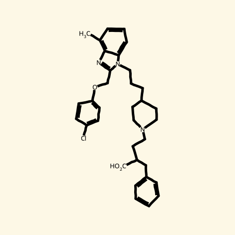 Cc1cccc2c1nc(COc1ccc(Cl)cc1)n2CCCC1CCN(CCC(Cc2ccccc2)C(=O)O)CC1